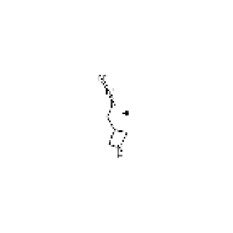 Cl.[N-]=[N+]=NCC1CNC1